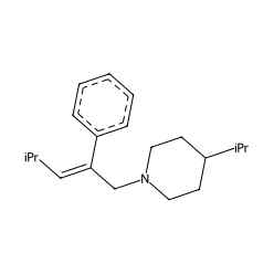 CC(C)/C=C(/CN1CCC(C(C)C)CC1)c1ccccc1